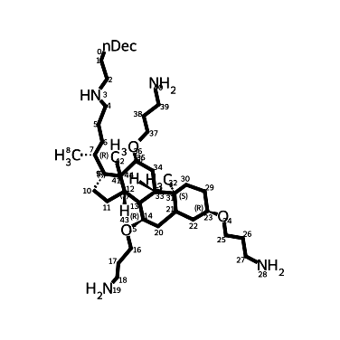 CCCCCCCCCCCCNCCC[C@@H](C)[C@H]1CC[C@H]2C3[C@H](OCCCN)CC4C[C@H](OCCCN)CC[C@]4(C)[C@H]3C[C@H](OCCCN)C12C